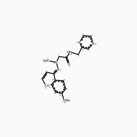 C/C=C\C(=N/N(C=O)CC(=O)NCc1cnccn1)c1ccc(OC)cc1